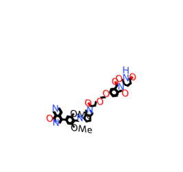 COc1cc(-c2cn(C)c(=O)c3cnccc23)cc(OC)c1CN(C)C1CCC2CN(C(=O)CCOCCOc3ccc4c(c3)C(=O)N(C3CCC(=O)NC3=O)C4=O)CC21